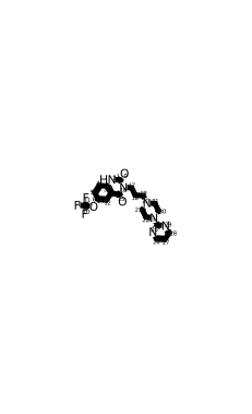 O=c1[nH]c2ccc(OC(F)(F)F)cc2c(=O)n1CCCN1CCN(c2ncccn2)CC1